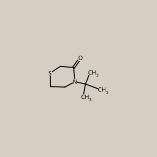 CC(C)(C)N1CCSCC1=O